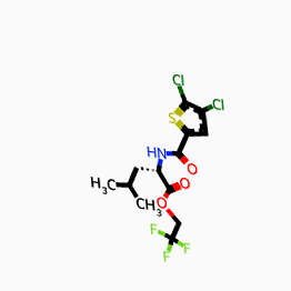 CC(C)C[C@H](NC(=O)c1cc(Cl)c(Cl)s1)C(=O)OCC(F)(F)F